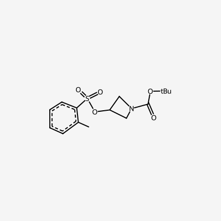 Cc1ccccc1S(=O)(=O)OC1CN(C(=O)OC(C)(C)C)C1